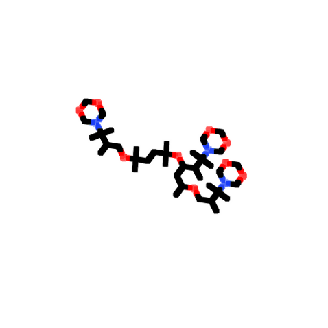 CC(CC(OC(C)(C)CCC(C)(C)OCC(C)C(C)(C)N1COCOC1)C(C)C(C)(C)N1COCOC1)OCC(C)C(C)(C)N1COCOC1